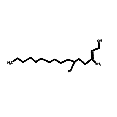 CCCCCCCCCCC(Br)CCC(C)=CCO